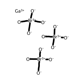 [Ga+3].[O-][Br+3]([O-])([O-])[O-].[O-][Br+3]([O-])([O-])[O-].[O-][Br+3]([O-])([O-])[O-]